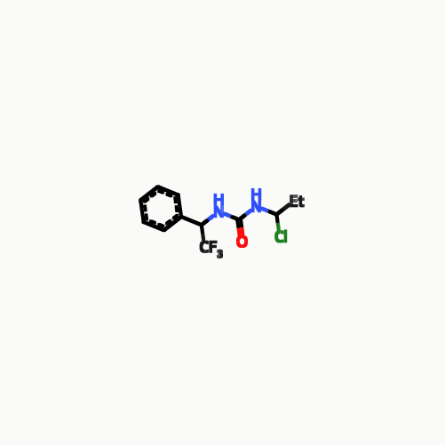 CCC(Cl)NC(=O)NC(c1ccccc1)C(F)(F)F